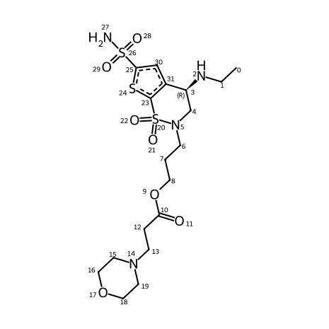 CCN[C@H]1CN(CCCOC(=O)CCN2CCOCC2)S(=O)(=O)c2sc(S(N)(=O)=O)cc21